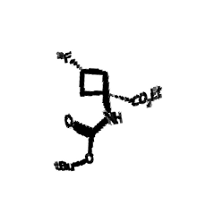 CCOC(=O)[C@]1(NC(=O)OC(C)(C)C)C[C@H]([18F])C1